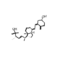 C=C1CC[C@H](O)C/C1=C/C=C1\CCC[C@]2(C)[C@@H]1CC[C@@H]2[C@@H](C)/C=C/[C@H](C)C(C)(C)O